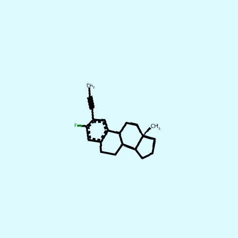 CC#Cc1cc2c(cc1F)CCC1C2CC[C@]2(C)CCCC12